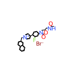 CC(=O)NCC1CN(c2ccc(-c3cc[n+](Cc4ccc5ccccc5c4)cc3)c(F)c2)C(=O)O1.[Br-]